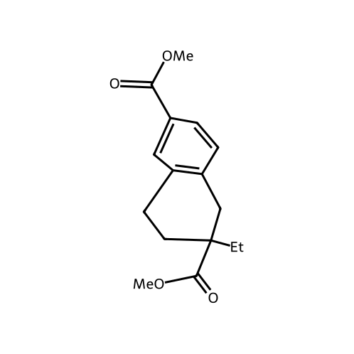 CCC1(C(=O)OC)CCc2cc(C(=O)OC)ccc2C1